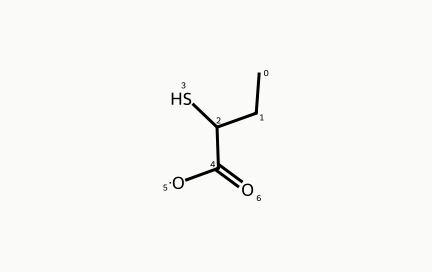 CCC(S)C([O])=O